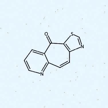 O=c1c2cccnc2ccc2ncsc12